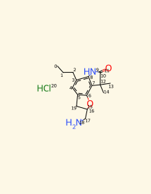 CCCc1cc2c(c3c1NC(=O)C3(C)C)OC(CN)C2.Cl